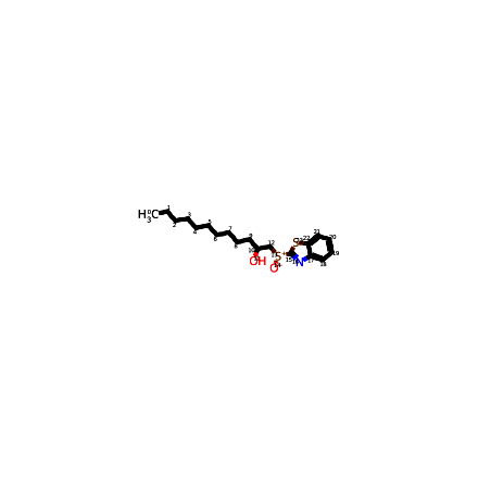 CCCCCCCCCCC(O)C[S+]([O-])c1nc2ccccc2s1